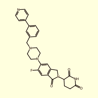 O=C1CCC(N2Cc3cc(N4CCN(Cc5cccc(-c6ccncc6)c5)CC4)c(F)cc3C2=O)C(=O)N1